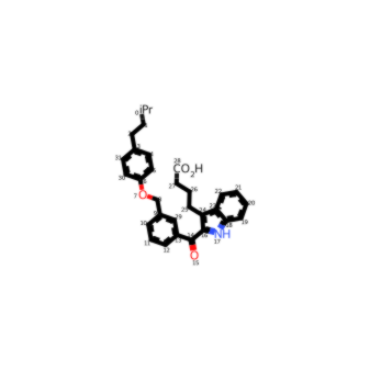 CC(C)CCc1ccc(OCc2cccc(C(=O)c3[nH]c4ccccc4c3CCCC(=O)O)c2)cc1